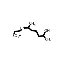 CC(O)CCCC(C)NCCS(=O)(=O)O